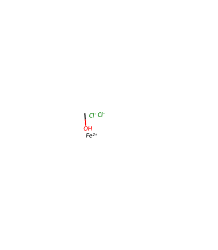 CO.[Cl-].[Cl-].[Fe+2]